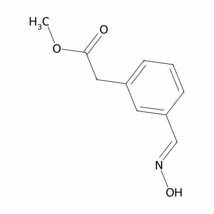 COC(=O)Cc1cccc(C=NO)c1